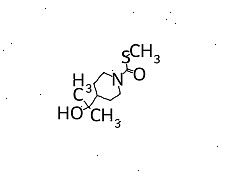 CSC(=O)N1CCC(C(C)(C)O)CC1